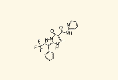 Cc1[nH]c2c(-c3ccccc3)c(C(F)(F)F)nn2c(=O)c1C(=O)Nc1ccccn1